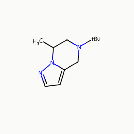 CC1CN(C(C)(C)C)Cc2ccnn21